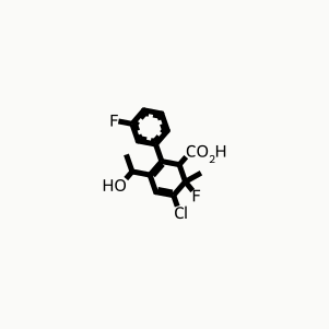 CC(O)C1=C(c2cccc(F)c2)C(C(=O)O)C(C)(F)C(Cl)=C1